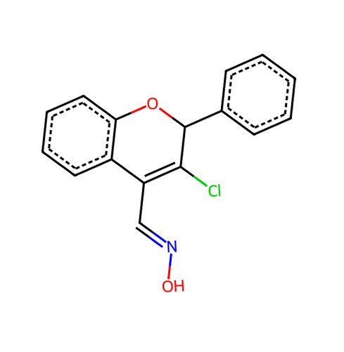 ON=CC1=C(Cl)C(c2ccccc2)Oc2ccccc21